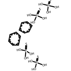 OP(O)(O)=S.OP(O)(O)=S.OP(O)(O)=S.OP(O)(O)=S.c1ccccc1.c1ccccc1